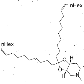 CCCCCC/C=C\CCCCCCCCC1(CCCCCCCC/C=C\CCCCCC)O[C@H]2CN(C)CC[C@H]2O1